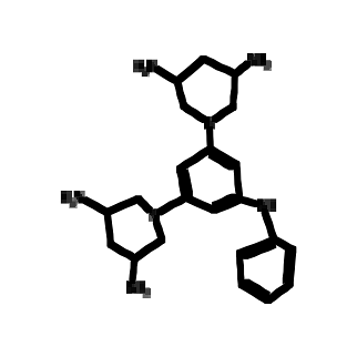 NC1CC(N)CN(c2cc(Nc3ccccc3)cc(N3CC(N)CC(N)C3)c2)C1